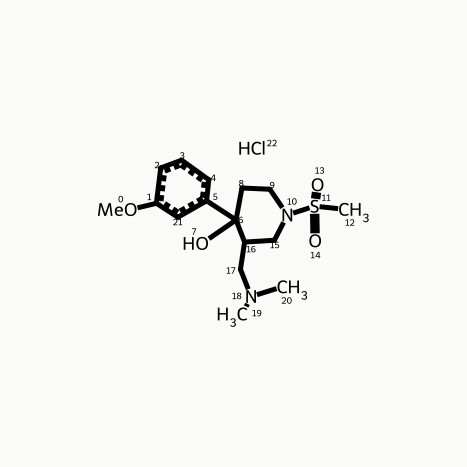 COc1cccc(C2(O)CCN(S(C)(=O)=O)CC2CN(C)C)c1.Cl